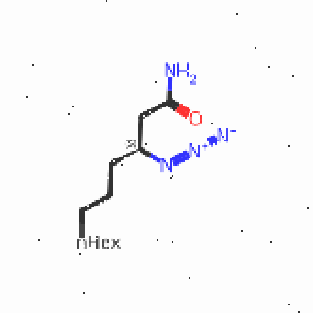 CCCCCCCCC[C@@H](CC(N)=O)N=[N+]=[N-]